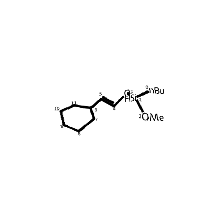 CCCC[SiH](OC)OC=CC1CCCCC1